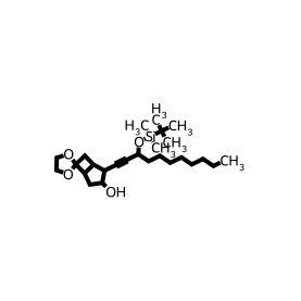 CCCCCCCCC(C#CC1C(O)CC2C1CC21OCCO1)O[Si](C)(C)C(C)(C)C